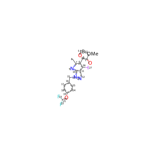 COC(=O)[C@@H](OC(C)(C)C)c1c(C)nc2c(cnn2Cc2ccc(OC(F)F)cc2)c1I